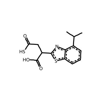 CC(C)c1cccc2sc(C(CC(=O)S)C(=O)O)nc12